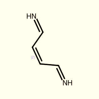 N=C/C=C\C=N